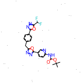 CC(C)(C)OC(=O)Nc1ccc(-c2nnc(Cc3ccc(-c4nnc(C(F)F)o4)cc3)o2)cn1